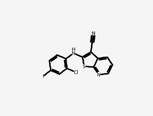 N#Cc1c(Nc2ccc(I)cc2Cl)sc2ncccc12